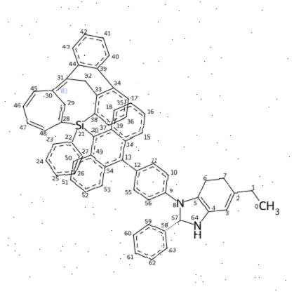 CCC1=CC2=C(CC1)N(c1ccc(-c3c4ccccc4c([Si]4(c5ccccc5)C5=C/C(=C6\Cc7c(cccc74)-c4ccccc46)C=CC=C5)c4ccccc34)cc1)C(c1ccccc1)N2